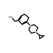 OCC1=CC[CH]C(N2CCN(C3CC3)CC2)=C1